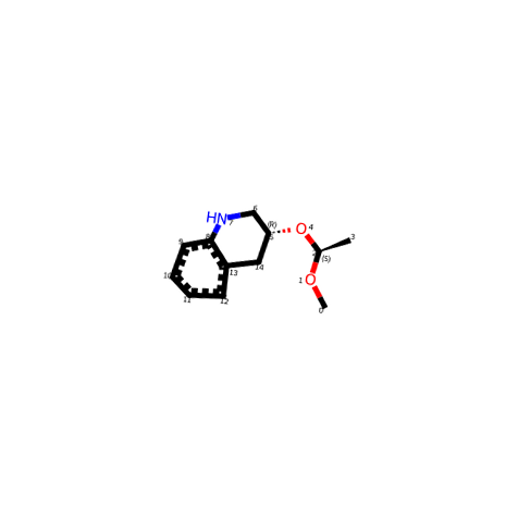 CO[C@H](C)O[C@H]1CNc2ccccc2C1